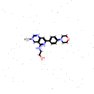 CN1C=Nc2cc(-c3ccc(N4CCOCC4)cc3)nc(NCCO)c2C1